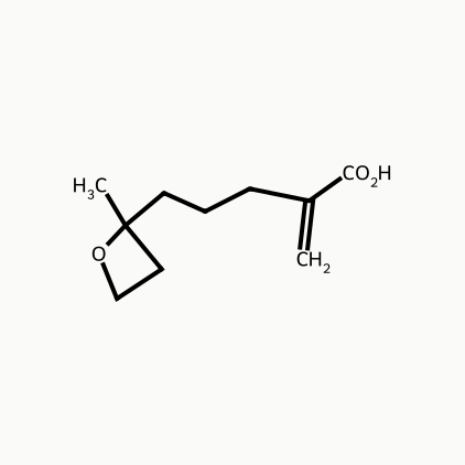 C=C(CCCC1(C)CCO1)C(=O)O